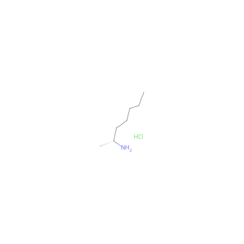 CCCCC[C@@H](C)N.Cl